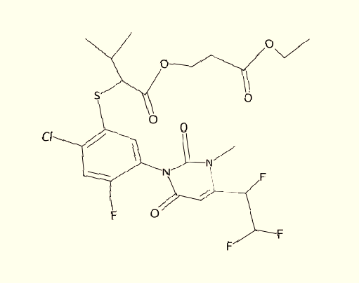 CCOC(=O)CCOC(=O)C(Sc1cc(-n2c(=O)cc(C(F)C(F)F)n(C)c2=O)c(F)cc1Cl)C(C)C